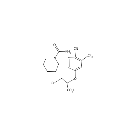 CC(C)CC(Oc1ccc(C#N)c(C(F)(F)F)c1)C(=O)O.NC(=O)N1CCCCC1